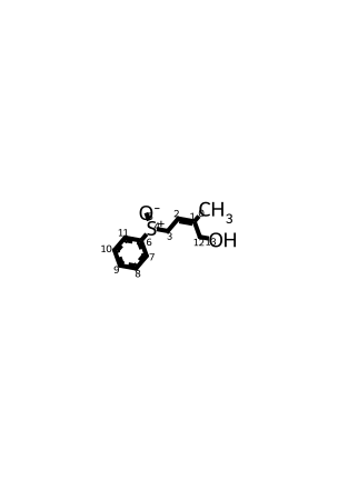 CC(=CC[S+]([O-])c1ccccc1)CO